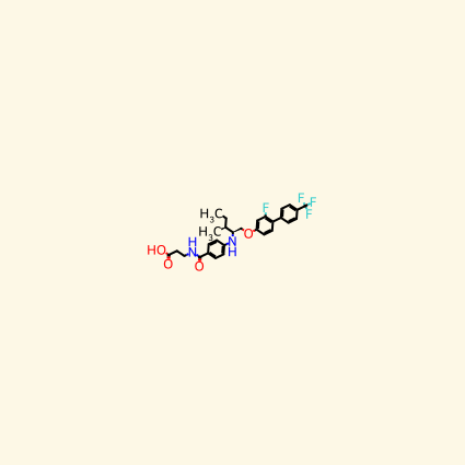 CC[C@H](C)[C@@H](COc1ccc(-c2ccc(C(F)(F)F)cc2)c(F)c1)Nc1ccc(C(=O)NCCC(=O)O)cc1